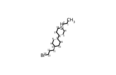 CCC[Si@H]1CC[C@H]([C@H]2CC[C@H](CCCBr)CC2)CC1